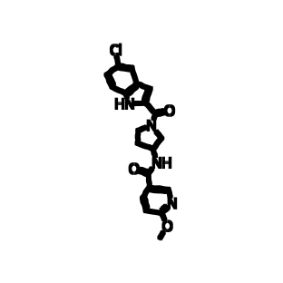 COc1ccc(C(=O)NC2CCN(C(=O)c3cc4cc(Cl)ccc4[nH]3)C2)cn1